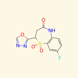 O=C1CC(c2nnco2)S(=O)(=O)c2cc(F)ccc2N1